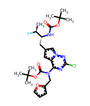 C[C@H](F)[C@@H](Cc1cc2c(N(Cc3ccco3)C(=O)OC(C)(C)C)nc(Cl)nn2c1)NC(=O)OC(C)(C)C